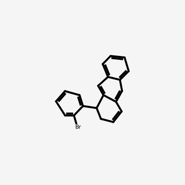 Brc1ccccc1C1CC=Cc2cc3ccccc3cc21